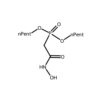 CCCCCOP(=O)(CC(=O)NO)OCCCCC